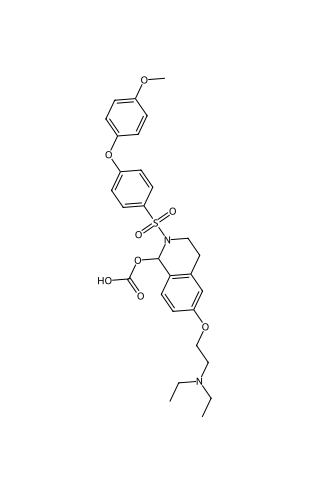 CCN(CC)CCOc1ccc2c(c1)CCN(S(=O)(=O)c1ccc(Oc3ccc(OC)cc3)cc1)C2OC(=O)O